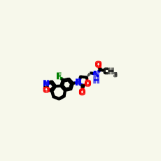 CC(=O)NC[C@H]1CN(c2cc(F)c3c(c2)CCCc2oncc2-3)C(=O)O1